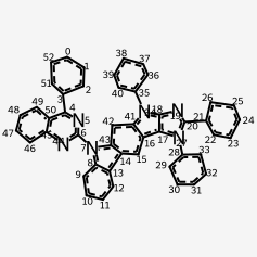 c1ccc(-c2nc(-n3c4ccccc4c4cc5c6c(nc(-c7ccccc7)n6-c6ccccc6)n(-c6ccccc6)c5cc43)nc3ccccc23)cc1